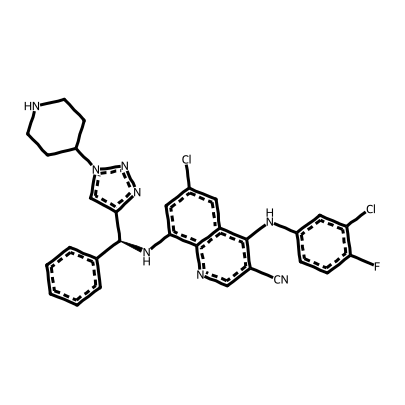 N#Cc1cnc2c(N[C@@H](c3ccccc3)c3cn(C4CCNCC4)nn3)cc(Cl)cc2c1Nc1ccc(F)c(Cl)c1